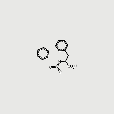 O=C(O)C(Cc1ccccc1)N=S(=O)=O.c1ccccc1